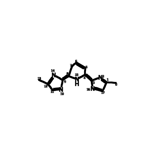 CC1=NC(=C2C=CCC(=C3N=CC(C)=N3)N2)N=C1